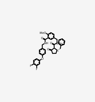 CC[C@@H](Cc1ccc(OC)c(C(=O)NCc2ccc(Oc3ccc(F)c(F)c3)cc2)c1)C(=O)C1C(=O)CC[C@H]1Cc1ccccc1